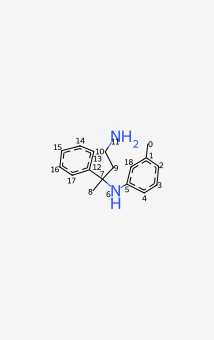 Cc1cccc(NC(C)(CCN)c2ccccc2)c1